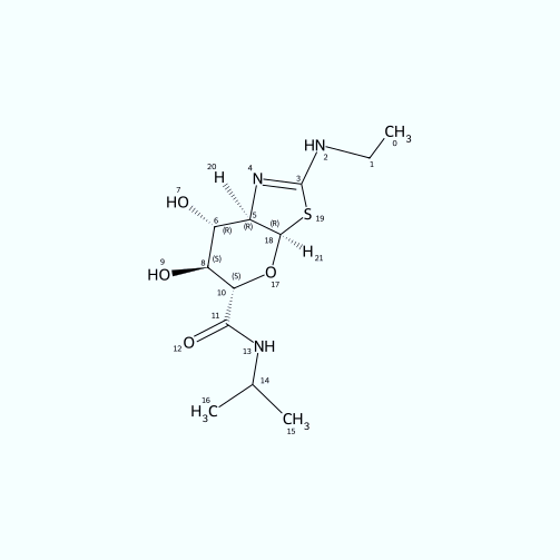 CCNC1=N[C@@H]2[C@@H](O)[C@H](O)[C@@H](C(=O)NC(C)C)O[C@@H]2S1